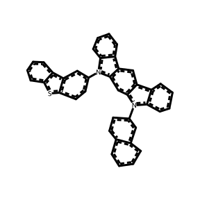 c1ccc2cc(-n3c4ccccc4c4cc5c6ccccc6n(-c6ccc7sc8ccccc8c7c6)c5cc43)ccc2c1